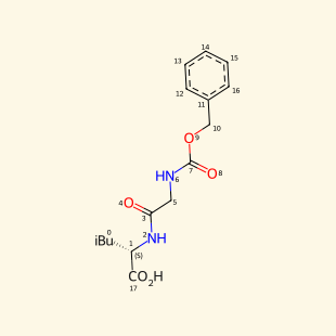 CCC(C)[C@H](NC(=O)CNC(=O)OCc1ccccc1)C(=O)O